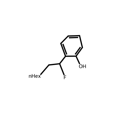 CCCCCCCC(F)c1ccccc1O